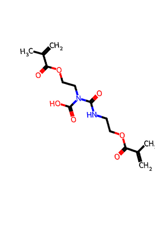 C=C(C)C(=O)OCCNC(=O)N(CCOC(=O)C(=C)C)C(=O)O